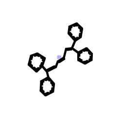 C(/C=C/C=C(c1ccccc1)c1ccccc1)=C(c1ccccc1)c1ccccc1